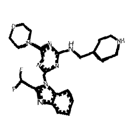 FC(F)c1nc2ccccc2n1-c1nc(NCC2CCNCC2)nc(N2CCOCC2)n1